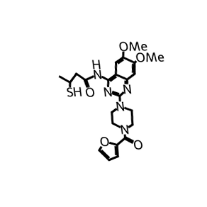 COc1cc2nc(N3CCN(C(=O)c4ccco4)CC3)nc(NC(=O)CC(C)S)c2cc1OC